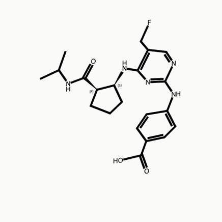 CC(C)NC(=O)[C@@H]1CCC[C@@H]1Nc1nc(Nc2ccc(C(=O)O)cc2)ncc1CF